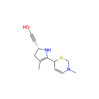 CC1=C(C2C=CN(C)CS2)N[C@@H](C#CO)C1